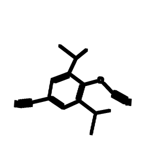 CC(C)c1cc(C#N)cc(C(C)C)c1OC#N